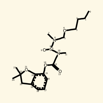 CCCCOCN(C)[S+]([O-])N(C)C(=O)Oc1cccc2c1OC(C)(C)C2